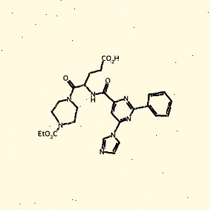 CCOC(=O)N1CCN(C(=O)C(CCC(=O)O)NC(=O)c2cc(-n3ccnc3)nc(-c3ccccc3)n2)CC1